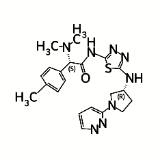 Cc1ccc([C@@H](C(=O)Nc2nnc(N[C@@H]3CCN(c4cccnn4)C3)s2)N(C)C)cc1